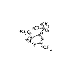 CS(=O)(=O)c1cc(C(F)(F)F)cnc1C(=O)O